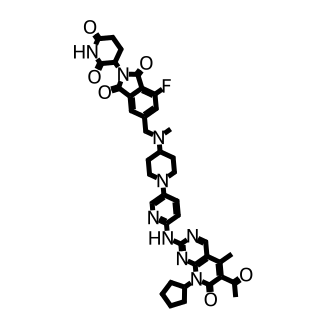 CC(=O)c1c(C)c2cnc(Nc3ccc(N4CCC(N(C)Cc5cc(F)c6c(c5)C(=O)N(C5CCC(=O)NC5=O)C6=O)CC4)cn3)nc2n(C2CCCC2)c1=O